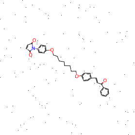 O=C(/C=C/c1ccc(OCCCCCCCCOc2ccc(N3C(=O)C=CC3=O)cc2)cc1)c1ccccc1